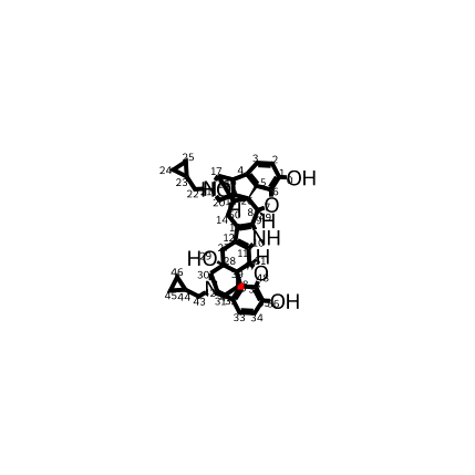 Oc1ccc2c3c1O[C@H]1c4[nH]c5c(c4C[C@@]4(O)C6C2[C@@H](CN6CC2CC2)[C@]314)C[C@@]1(O)C2Cc3ccc(O)c4c3[C@@]1(CCN2CC1CC1)[C@H]5O4